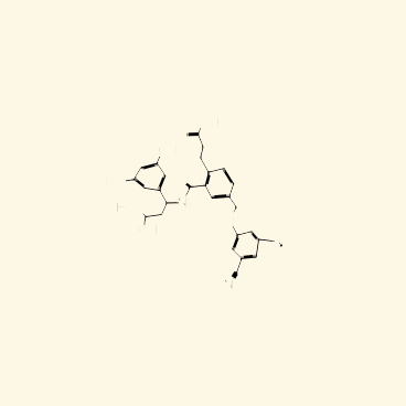 COc1cc(C#N)cc(OCc2ccc(CCC(=O)O)c(C(=O)NC(CC(C)C)c3cc(C)cc(C)c3)c2)c1